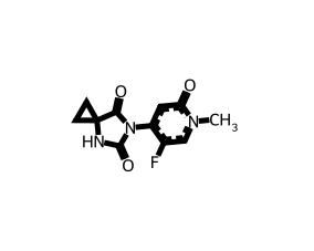 Cn1cc(F)c(N2C(=O)NC3(CC3)C2=O)cc1=O